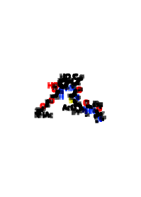 CC[C@H](C)[C@H](NC(=O)C(C)(C)N(C)C)C(=O)N(C)[C@H](C[C@@H](OC(C)=O)c1nc(C(=O)N[C@@H](Cc2ccc(O)c(NC(=O)CCOCCOCCNC(C)=O)c2)CC(C)C(=O)O)cs1)C(C)C